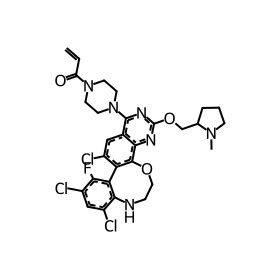 C=CC(=O)N1CCN(c2nc(OCC3CCCN3C)nc3c4c(c(Cl)cc23)-c2c(F)c(Cl)cc(Cl)c2NCCO4)CC1